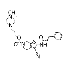 CN1CCN(CCCOC(=O)N2CCc3c(sc(NC(=O)C=Cc4ccccc4)c3C#N)C2)CC1